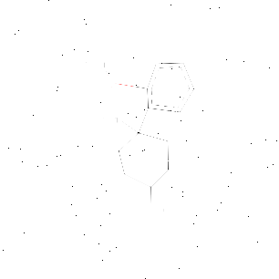 CCCCOc1ccccc1C1(CCC)CCC(C(=O)O)CC1